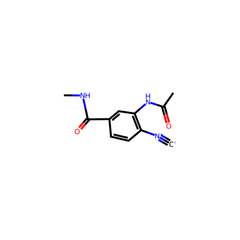 [C-]#[N+]c1ccc(C(=O)NC)cc1NC(C)=O